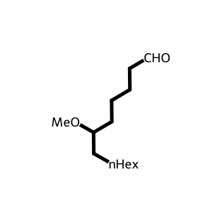 CCCCCCCC(CCCCC=O)OC